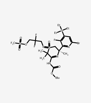 CC[Si](CC)(CC)c1cc(Br)nc([C@]2(C)CS(=O)(=NCC(F)(F)COS(=O)(=O)C(F)(F)F)C(C)(C)C(NC(=O)OC(C)(C)C)=N2)c1F